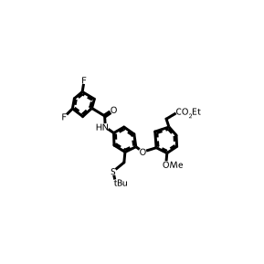 CCOC(=O)Cc1ccc(OC)c(Oc2ccc(NC(=O)c3cc(F)cc(F)c3)cc2CSC(C)(C)C)c1